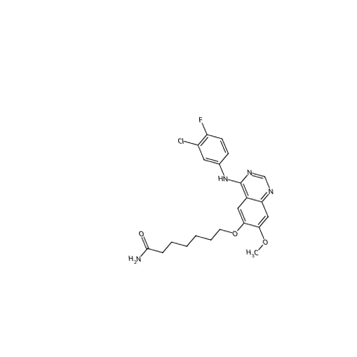 COc1cc2ncnc(Nc3ccc(F)c(Cl)c3)c2cc1OCCCCCCC(N)=O